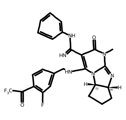 CN1C(=O)C(C(=N)Nc2ccccc2)=C(NCc2ccc(C(=O)C(F)(F)F)c(F)c2)N2C1=N[C@@H]1CCC[C@@H]12